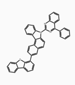 c1ccc(-c2nc(-n3c4ccccc4c4c5ccc(-c6cccc7c6sc6ccccc67)cc5ccc43)nc3ccccc23)cc1